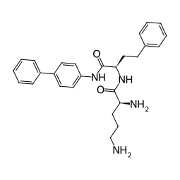 NCCC[C@H](N)C(=O)N[C@H](CCc1ccccc1)C(=O)Nc1ccc(-c2ccccc2)cc1